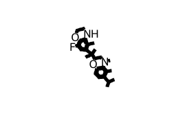 Cc1c(C(C)(C)C2CN(C)c3c(ccc(C(C)C)c3C)O2)cc(F)c2c1NCCO2